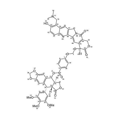 CCC1(OCOc2ccc(C(=O)OC3c4cc5c(cc4[C@@H](c4cc(OC)c(OC)c(OC)c4)[C@H]4C(=O)OC[C@H]34)OCO5)cc2)C(=O)OCc2c1cc1n(c2=O)Cc2cc3c(CN(C)C)c(O)ccc3nc2-1